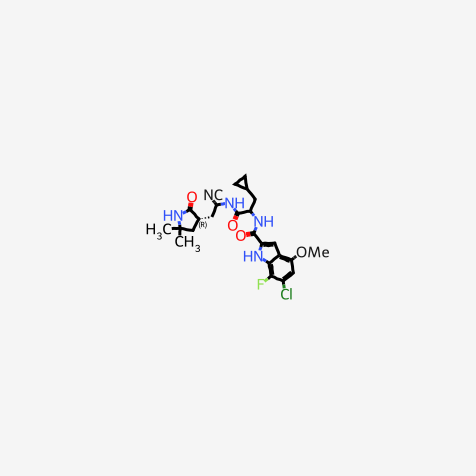 COc1cc(Cl)c(F)c2[nH]c(C(=O)NC(CC3CC3)C(=O)NC(C#N)C[C@@H]3CC(C)(C)NC3=O)cc12